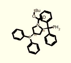 CC(C)(C)OC(=O)N1C[C@H](P(c2ccccc2)c2ccccc2)C[C@@H]1C(P)(c1ccccc1)c1ccccc1